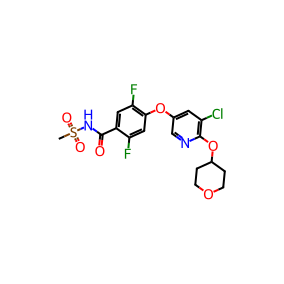 CS(=O)(=O)NC(=O)c1cc(F)c(Oc2cnc(OC3CCOCC3)c(Cl)c2)cc1F